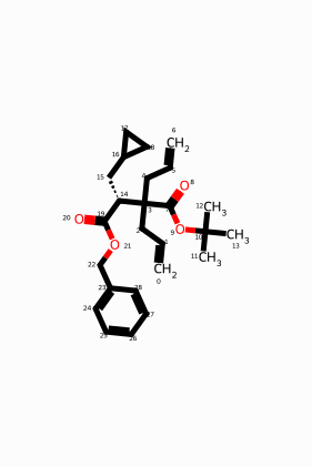 C=CCC(CC=C)(C(=O)OC(C)(C)C)[C@@H](CC1CC1)C(=O)OCc1ccccc1